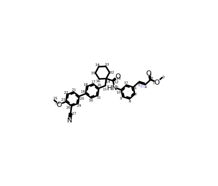 COC(=O)/C=C/c1cccc(NC(=O)C2(Cc3ccc(-c4ccc(OC)c(C#N)c4)cc3)CCCCC2)c1